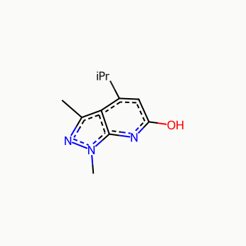 Cc1nn(C)c2nc(O)cc(C(C)C)c12